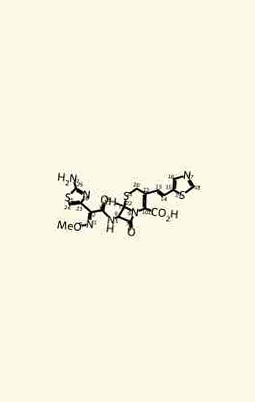 CON=C(C(=O)NC1C(=O)N2C(C(=O)O)=C(C=Cc3cncs3)CS[C@@H]12)c1csc(N)n1